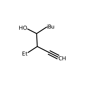 C#CC(CC)C(O)C(C)CC